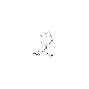 CC(C(=O)O)[SiH]1CCCCO1